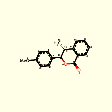 COc1ccc([C@@H]2OC(=O)c3ccccc3[C@H]2C)cc1